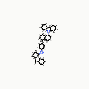 CC1(C)c2ccccc2-c2c(Nc3ccc(-c4cccc5c(-n6c7ccccc7c7ccccc76)cccc45)cc3)cccc21